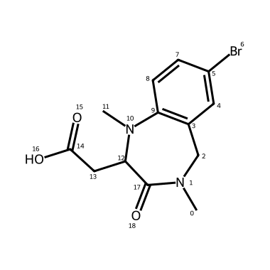 CN1Cc2cc(Br)ccc2N(C)C(CC(=O)O)C1=O